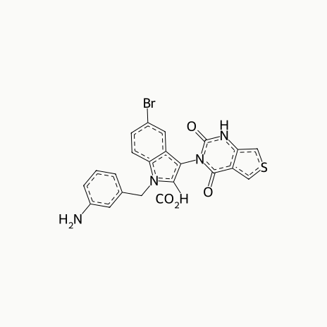 Nc1cccc(Cn2c(C(=O)O)c(-n3c(=O)[nH]c4cscc4c3=O)c3cc(Br)ccc32)c1